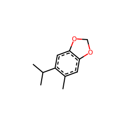 Cc1cc2c(cc1C(C)C)OCO2